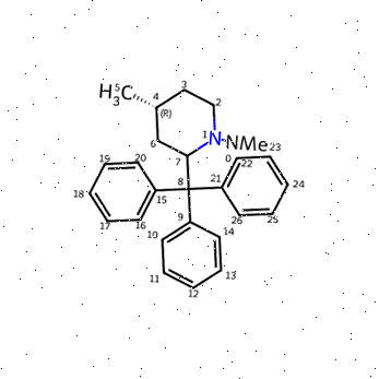 CNN1CC[C@@H](C)CC1C(c1ccccc1)(c1ccccc1)c1ccccc1